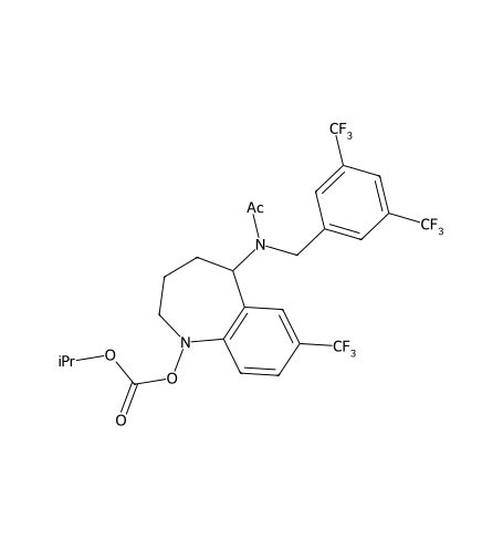 CC(=O)N(Cc1cc(C(F)(F)F)cc(C(F)(F)F)c1)C1CCCN(OC(=O)OC(C)C)c2ccc(C(F)(F)F)cc21